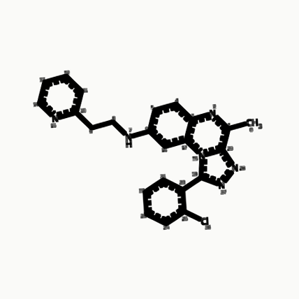 Cc1nc2ccc(NCCc3ccccn3)cc2n2c(-c3ccccc3Cl)nnc12